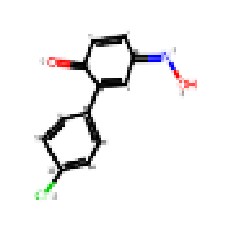 O=C1C=CC(=NO)C=C1c1ccc(Cl)cc1